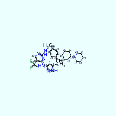 Cc1cc(Nc2nc(Nc3cc(C)c([C@H]4CC[C@@H](N5CCCCC5)CC4)cc3C)ncc2C(F)(F)F)n[nH]1